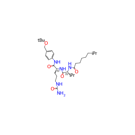 CC(C)CCCCCC(=O)N[C@H](C(=O)N[C@@H](CCCNC(N)=O)C(=O)Nc1ccc(COC(C)(C)C)cc1)C(C)C